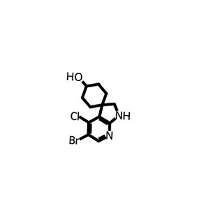 OC1CCC2(CC1)CNc1ncc(Br)c(Cl)c12